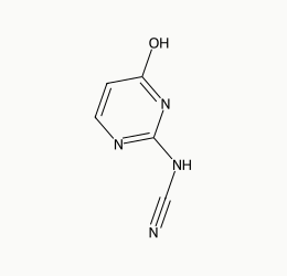 N#CNc1nccc(O)n1